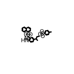 Cc1ccc(S(=O)(=O)OCCC(C)c2ccc3[nH]nc(S(=O)(=O)c4cccc5ccccc45)c3c2)cc1